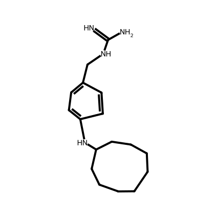 N=C(N)NCc1ccc(NC2CCCCCCCC2)cc1